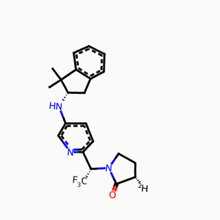 [2H][C@H]1CCN([C@@H](c2ccc(N[C@H]3Cc4ccccc4C3(C)C)cn2)C(F)(F)F)C1=O